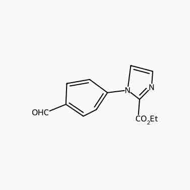 CCOC(=O)c1nccn1-c1ccc(C=O)cc1